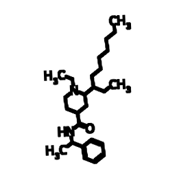 CCCCCCCC(CC)C1CC(C(=O)NC(C)c2ccccc2)CCN1CC